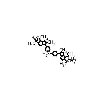 CC1=Cc2c(ccc(C(C)C)c2C(C)C)C1c1ccc([SiH2]c2ccc(C3C(C)=Cc4c3ccc(C(C)C)c4C(C)C)cc2)cc1